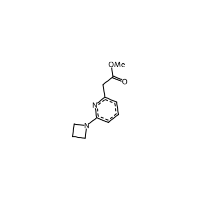 COC(=O)Cc1cccc(N2CCC2)n1